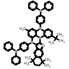 Cc1cc2c3c(c1)N(c1ccc(N(c4ccccc4)c4ccccc4)cc1)c1c(oc4cc5c(cc14)C(C)(C)CCC5(C)C)B3c1cc(C(C)(C)C)ccc1N2c1ccc(N(c2ccccc2)c2ccccc2)cc1